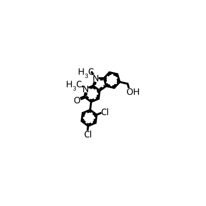 Cn1c(=O)c(-c2ccc(Cl)cc2Cl)cc2c3cc(CO)ccc3n(C)c21